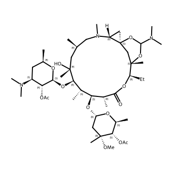 CC[C@H]1OC(=O)[C@H](C)[C@@H](O[C@H]2C[C@@](C)(OC)[C@@H](OC(C)=O)[C@H](C)O2)[C@H](C)[C@@H](O[C@@H]2O[C@H](C)C[C@H](N(C)C)[C@H]2OC(C)=O)[C@](C)(O)C[C@@H](C)CN(C)[C@@H]2C[C@]23C[C@]1(C)OC(N(C)C)O3